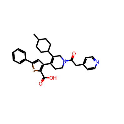 CC1CCC(C2=C(c3cc(-c4ccccc4)sc3C(=O)O)CCN(C(=O)Cc3ccncc3)C2)CC1